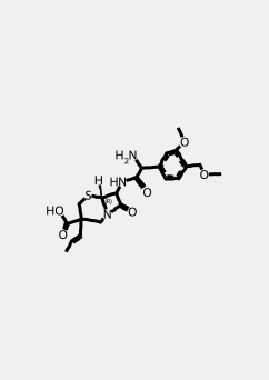 CC=CC1(C(=O)O)CS[C@@H]2C(NC(=O)C(N)c3ccc(COC)c(OC)c3)C(=O)N2C1